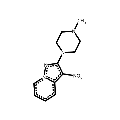 CN1CCN(c2nn3ccccc3c2[N+](=O)[O-])CC1